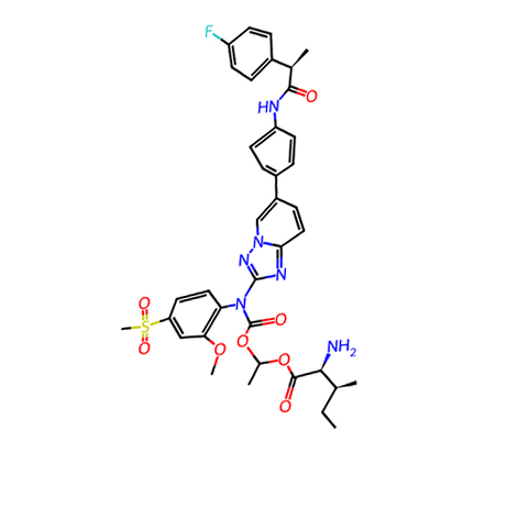 CC[C@H](C)[C@H](N)C(=O)OC(C)OC(=O)N(c1nc2ccc(-c3ccc(NC(=O)[C@H](C)c4ccc(F)cc4)cc3)cn2n1)c1ccc(S(C)(=O)=O)cc1OC